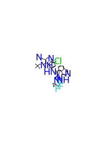 CC(C)(C)CNc1c(C#N)cnc2c(Cl)cc(N[C@@H]3C4=CN(C5(C(F)(F)F)CC5)NN4c4cncc5cccc3c45)cc12